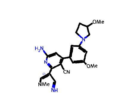 CN/C=C(\C=N)c1nc(N)cc(-c2cc(OC)cc(N3CCC(OC)C3)c2)c1C#N